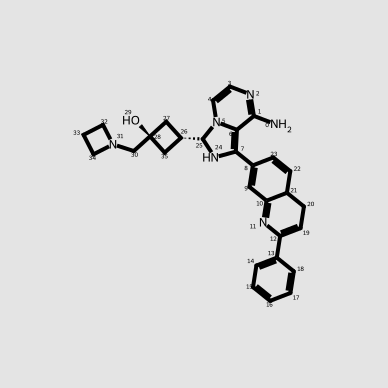 NC1=NC=CN2C1=C(C1=CC3=NC(c4ccccc4)=CCC3C=C1)NC2[C@H]1C[C@@](O)(CN2CCC2)C1